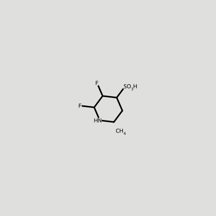 C.O=S(=O)(O)C1CCNC(F)C1F